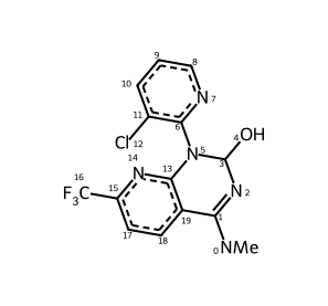 CNC1=NC(O)N(c2ncccc2Cl)c2nc(C(F)(F)F)ccc21